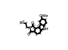 COc1ccc2[nH]c3ccc4c(c3c2c1)C(=O)N(CCBr)C4=O